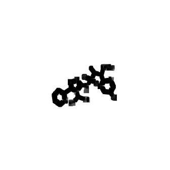 CCC(CC)n1c(NS(=O)(=O)C(C)C(OC)c2ncc(Cl)cn2)nnc1-c1ccccn1